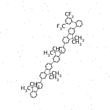 CC1(C)c2ccccc2-c2ccc(-c3ccc4c(c3)C(C)(C)c3cc(-c5ccc6c(c5)C(C)(C)c5cc(-c7ccc8c(c7)C(C)(C)c7cc(-c9ccccc9-c9cc(C(F)(F)F)cc(C(F)(F)F)c9)ccc7-8)ccc5-6)ccc3-4)cc21